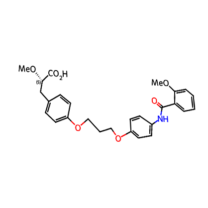 COc1ccccc1C(=O)Nc1ccc(OCCCOc2ccc(C[C@H](OC)C(=O)O)cc2)cc1